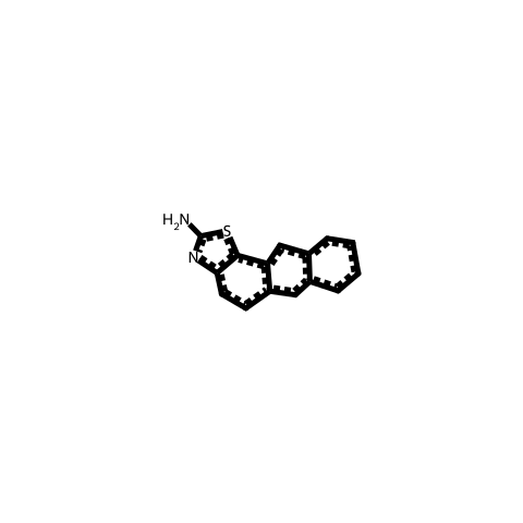 Nc1nc2ccc3cc4ccccc4cc3c2s1